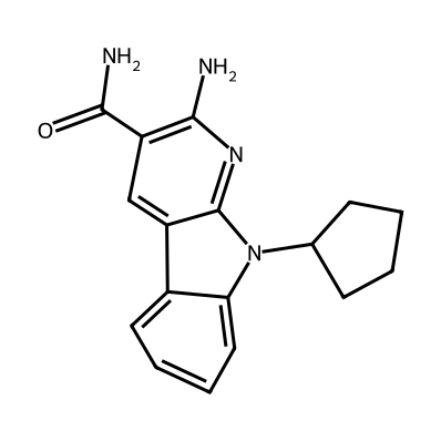 NC(=O)c1cc2c3ccccc3n(C3CCCC3)c2nc1N